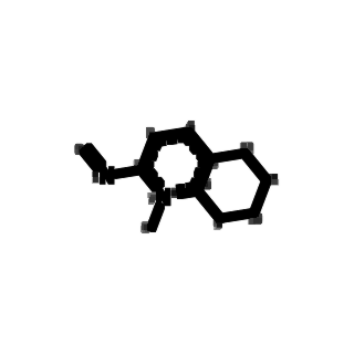 C=Nc1ccc2c([n+]1C)CCCC2